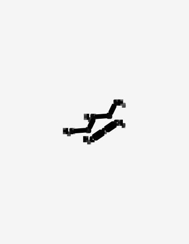 C=C=C.[SiH3]O[SiH2]O[SiH3]